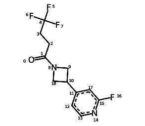 O=C(CCC(F)(F)F)N1CC(c2ccnc(F)c2)C1